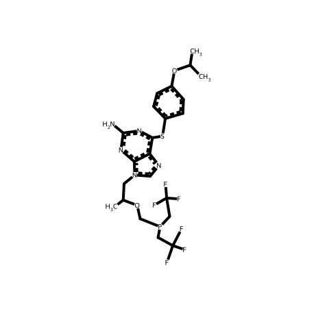 CC(C)Oc1ccc(Sc2nc(N)nc3c2ncn3CC(C)OCP(CC(F)(F)F)CC(F)(F)F)cc1